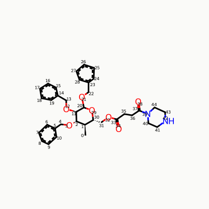 C[C@H]1[C@H](OCc2ccccc2)[C@@H](OCc2ccccc2)C(OCc2ccccc2)O[C@@H]1COC(=O)CCC(=O)N1CCNCC1